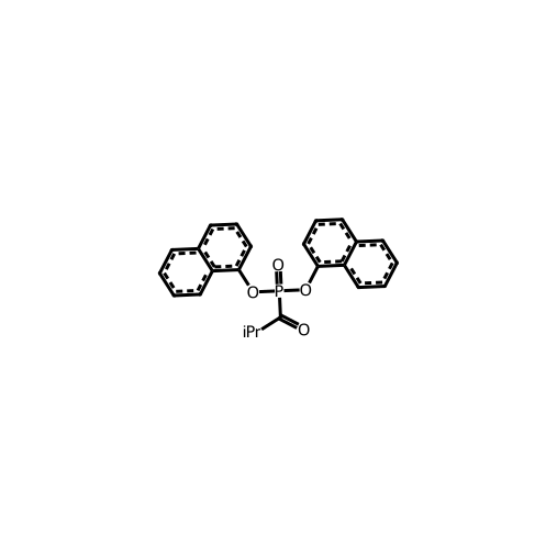 CC(C)C(=O)P(=O)(Oc1cccc2ccccc12)Oc1cccc2ccccc12